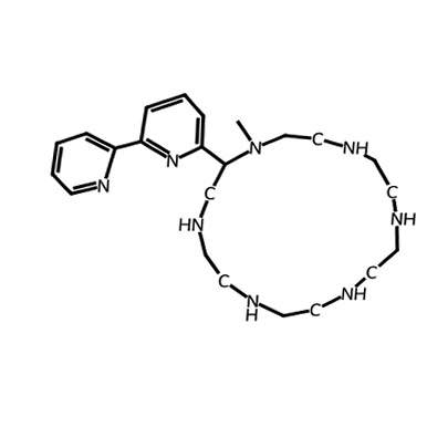 CN1CCNCCNCCNCCNCCNCC1c1cccc(-c2ccccn2)n1